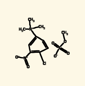 COS(=O)(=O)[O-].C[N+](C)(C)c1ccc(Cl)c([N+](=O)[O-])c1